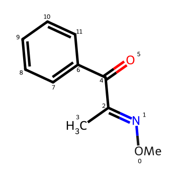 CO/N=C(\C)C(=O)c1ccccc1